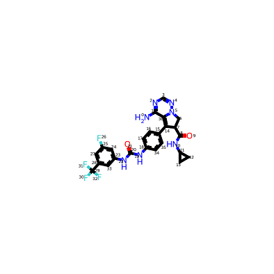 NC1=NC=NN2CC(C(=O)NC3CC3)C(c3ccc(NC(=O)Nc4cc(F)cc(C(F)(F)F)c4)cc3)=C12